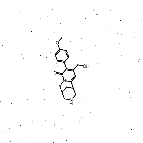 COc1ccc(-c2c(CO)cc3n(c2=O)CC2CNCC3C2)cc1